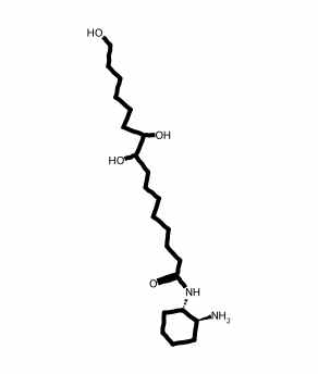 N[C@H]1CCCC[C@@H]1NC(=O)CCCCCCCC(O)C(O)CCCCCCO